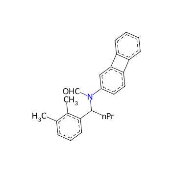 [CH2]CCC(c1cccc(C)c1C)N(C=O)c1ccc2c(c1)-c1ccccc1-2